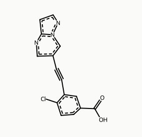 O=C(O)c1ccc(Cl)c(C#Cc2cnc3ccnn3c2)c1